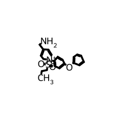 CCCS(=O)(=O)[N+]1(c2ccc(Oc3ccccc3)cc2)C=CC(CN)=CC1